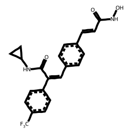 O=C(/C=C/c1ccc(C=C(C(=O)NC2CC2)c2ccc(C(F)(F)F)cc2)cc1)NO